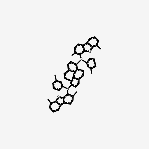 Cc1cccc(N(c2ccc3ccc4c(N(c5cccc(C)c5)c5c(C)ccc6c5oc5c(C)cccc56)ccc5ccc2c3c54)c2c(C)ccc3c2oc2c(C)cccc23)c1